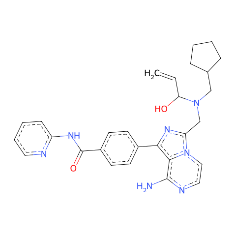 C=CC(O)N(Cc1nc(-c2ccc(C(=O)Nc3ccccn3)cc2)c2c(N)nccn12)CC1CCCC1